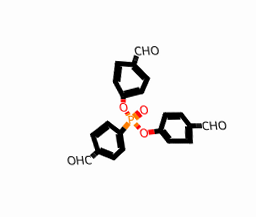 O=Cc1ccc(OP(=O)(Oc2ccc(C=O)cc2)c2ccc(C=O)cc2)cc1